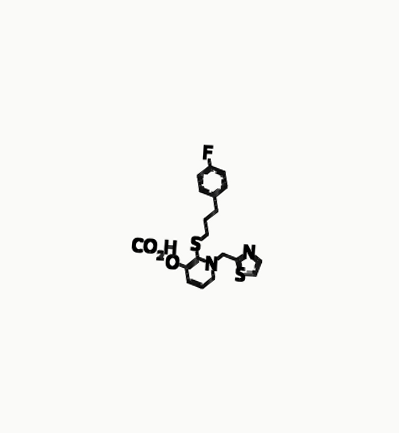 O=C(O)OC1=C(SCCCc2ccc(F)cc2)N(Cc2nccs2)CC=C1